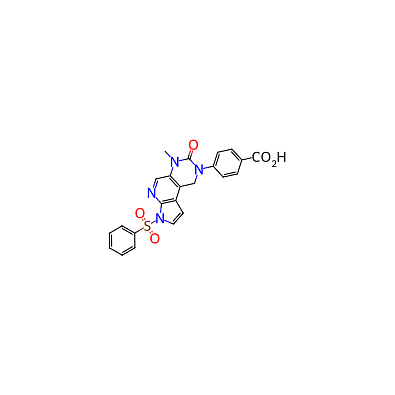 CN1C(=O)N(c2ccc(C(=O)O)cc2)Cc2c1cnc1c2ccn1S(=O)(=O)c1ccccc1